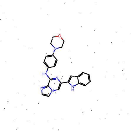 c1ccc2[nH]c(-c3cn4ccnc4c(Nc4ccc(N5CCOCC5)cc4)n3)cc2c1